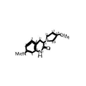 CNc1ccc2c(c1)NC(=O)C(N1CCC(OC)C1)C2